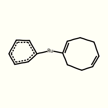 C1=CCC[C]([Ru][c]2ccccc2)=CCC1